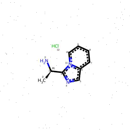 C[C@@H](N)c1ncc2ccccn12.Cl